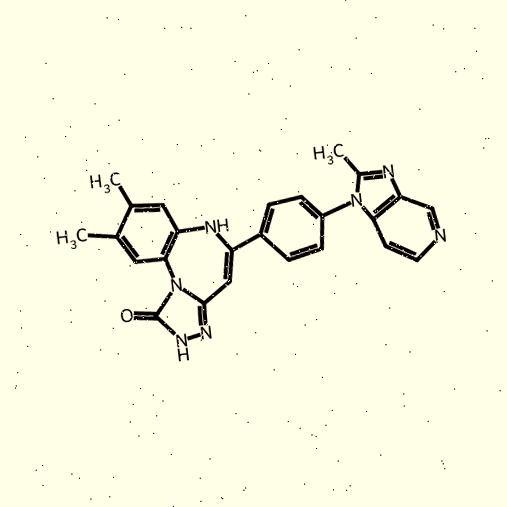 Cc1cc2c(cc1C)-n1c(n[nH]c1=O)C=C(c1ccc(-n3c(C)nc4cnccc43)cc1)N2